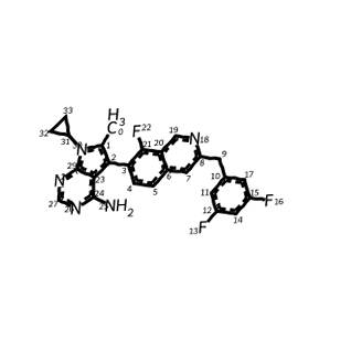 Cc1c(-c2ccc3cc(Cc4cc(F)cc(F)c4)ncc3c2F)c2c(N)ncnc2n1C1CC1